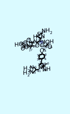 Cn1c(-c2ccc(OC[C@H](O/N=C(\C(=O)N[C@@H]3C(=O)N(OS(=O)(=O)O)C3(C)C)c3csc(N)n3)C(=O)O)cc2)cn(CC(CN)CN)c1=N